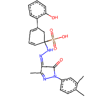 CC1=NN(c2ccc(C)c(C)c2)C(=O)/C1=N\NC1(S(=O)(=O)O)C=CC=C(c2ccccc2O)C1